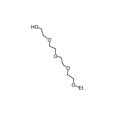 [CH2]COCCOCCOCCOCCO